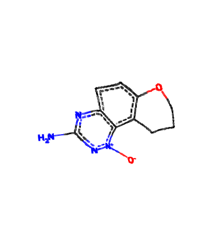 Nc1nc2ccc3c(c2[n+]([O-])n1)CCCO3